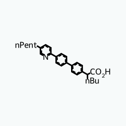 CCCCCc1ccc(-c2ccc(-c3ccc(C(CCCC)C(=O)O)cc3)cc2)nc1